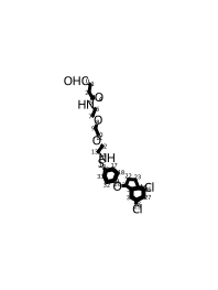 O=CCCC(=O)NCCOCCOCCNSc1ccc(OC2CCc3c(Cl)cc(Cl)cc32)cc1